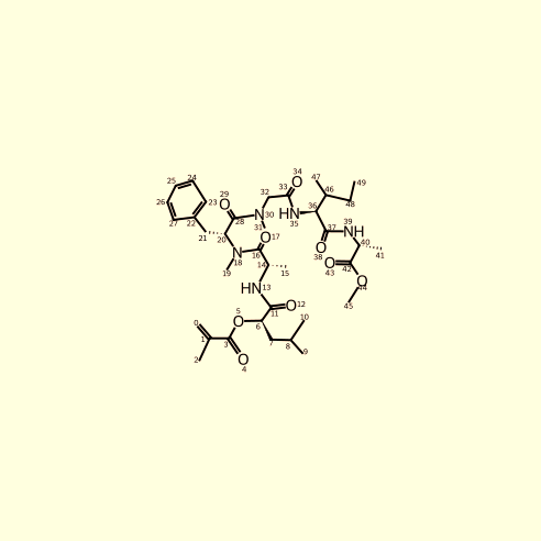 C=C(C)C(=O)O[C@H](CC(C)C)C(=O)N[C@@H](C)C(=O)N(C)[C@H](Cc1ccccc1)C(=O)N(C)CC(=O)N[C@H](C(=O)N[C@H](C)C(=O)OC)C(C)CC